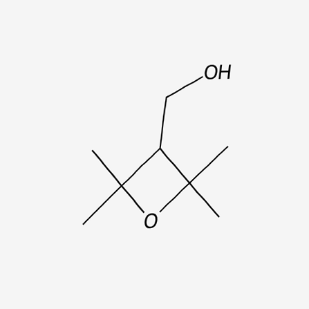 CC1(C)OC(C)(C)C1CO